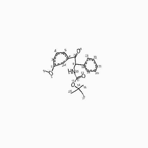 COc1cccc(C(=O)C(NC(=O)OC(C)(C)C)c2ccccc2)c1